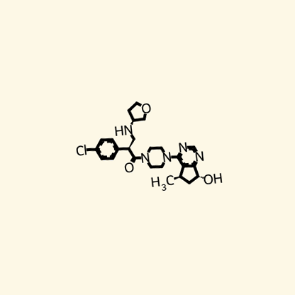 C[C@@H]1C[C@@H](O)c2ncnc(N3CCN(C(=O)[C@H](CN[C@H]4CCOC4)c4ccc(Cl)cc4)CC3)c21